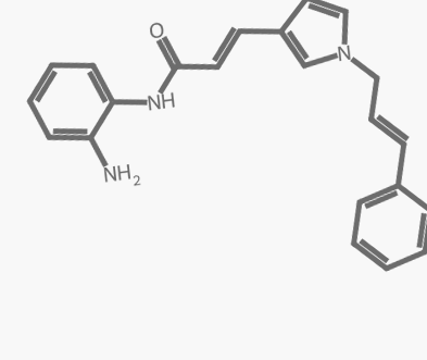 Nc1ccccc1NC(=O)/C=C/c1ccn(C/C=C/c2ccccc2)c1